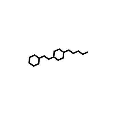 CCCCCC1CCC(CCC2CCCCC2)CC1